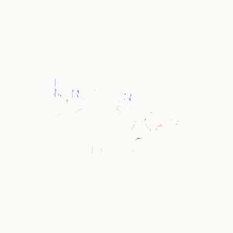 CCOC(=O)CC(Cc1csc(CCCc2ccc3c(n2)NCCC3)n1)c1ccc(C)cc1.Cl